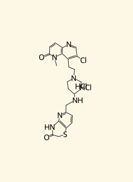 Cl.Cl.Cn1c(=O)ccc2ncc(Cl)c(CCN3CCC(NCc4ccc5c(n4)NC(=O)CS5)CC3)c21